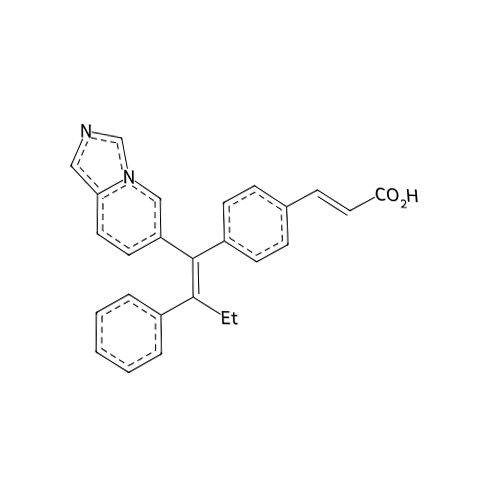 CCC(=C(c1ccc(C=CC(=O)O)cc1)c1ccc2cncn2c1)c1ccccc1